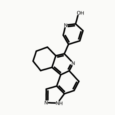 Oc1ccc(-c2nc3ccc4[nH]ncc4c3c3c2CCCC3)cn1